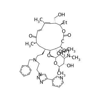 CC[C@H]1OC(=O)C[C@@H](O)[C@H](C)[C@@H](O[C@@H]2O[C@H](C)[C@@H](O)C(N(C)C)C2O)[C@@H](CCN(CCn2cc(-c3cccnc3)nn2)Cc2ccccc2)C[C@@H](C)C(=O)/C=C/C(C)=C/[C@@H]1CO